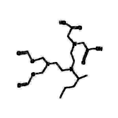 CCCC(C)N(CCN(COC=O)COC=O)CCN(CC(=O)O)CC(=O)O